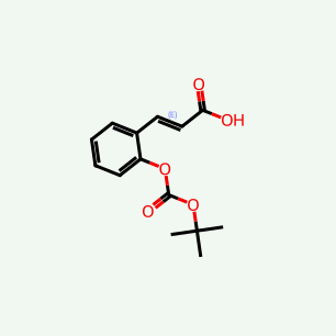 CC(C)(C)OC(=O)Oc1ccccc1/C=C/C(=O)O